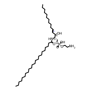 CCCCCCCCCC/C=C/[C@@H](O)[C@H](COP(=O)(O)OCCN)NC(=O)CCCCCCCCCCCCCCCCCCCCC